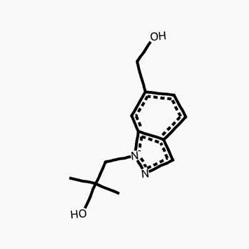 CC(C)(O)Cn1ncc2ccc(CO)cc21